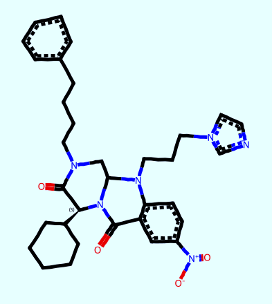 O=C1[C@H](C2CCCCC2)N2C(=O)c3cc([N+](=O)[O-])ccc3N(CCCn3ccnc3)C2CN1CCCCc1ccccc1